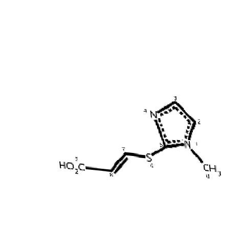 Cn1ccnc1SC=CC(=O)O